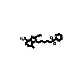 CCCc1nc2c(N)ncc(C)c2n1CCCCCS(=O)(=O)c1ncccn1